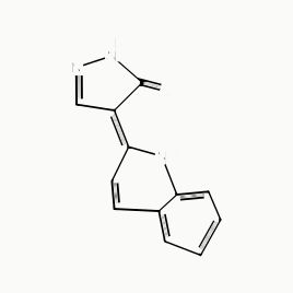 O=C1NN=CC1=C1C=Cc2ccccc2N1